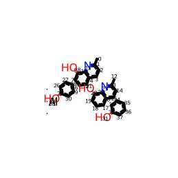 Cc1ccc2cccc(O)c2n1.Cc1ccc2cccc(O)c2n1.Oc1ccccc1.Oc1ccccc1.[Al]